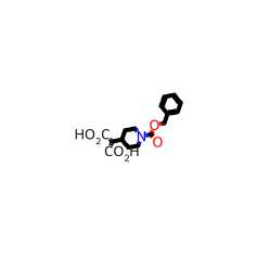 O=C(O)C(C(=O)O)C1CCN(C(=O)OCc2ccccc2)CC1